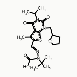 Cc1c(C=NN(C(=O)O)C(C)(C)C)sc2c1c(=O)n(C(C)C)c(=O)n2CC1CCCO1